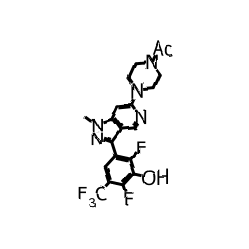 CC(=O)N1CCN(c2cc3c(cn2)c(-c2cc(C(F)(F)F)c(F)c(O)c2F)nn3C)CC1